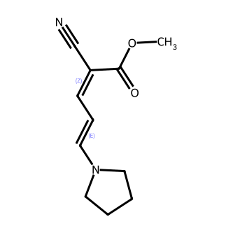 COC(=O)/C(C#N)=C\C=C\N1CCCC1